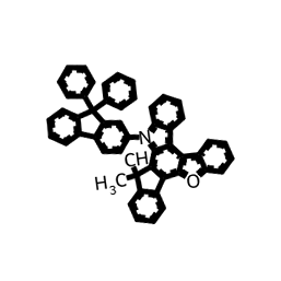 CC1(C)c2ccccc2-c2c1c1c(c3ccccc3n1-c1ccc3c(c1)C(c1ccccc1)(c1ccccc1)c1ccccc1-3)c1c2oc2ccccc21